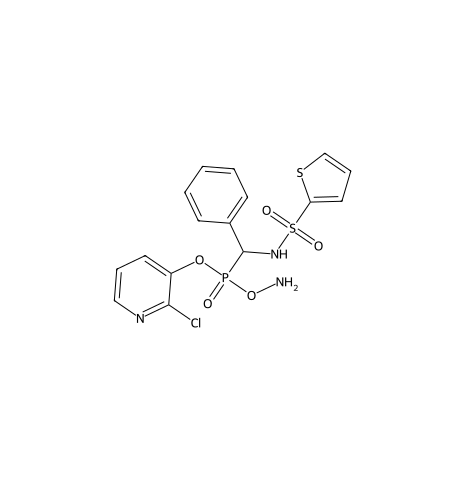 NOP(=O)(Oc1cccnc1Cl)C(NS(=O)(=O)c1cccs1)c1ccccc1